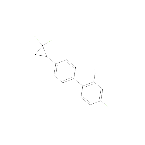 O=C(O)c1cc(F)ccc1-c1ccc(C2CC2(F)F)cc1